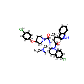 C[C@@H](c1c[nH]c2ccccc12)[C@@H](NC(=O)N1CCC(Oc2ccc(Cl)cc2)CC1)C(=O)N1C[C@@H](CN(C)C)Cc2cc(Cl)ccc21